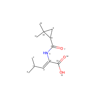 CC(C)/C=C(\NC(=O)C1CC1(C)C)C(=O)O